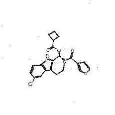 O=C(OC1c2[nH]c3ccc(Cl)cc3c2CCN1C(=O)c1ccoc1)C1CCC1